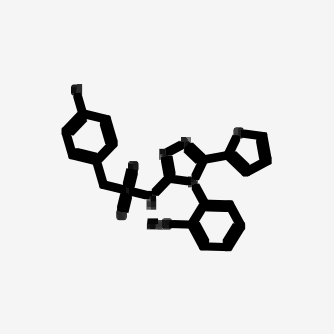 COc1ccccc1-n1c(NS(=O)(=O)Cc2ccc(Cl)cc2)nnc1-c1ccco1